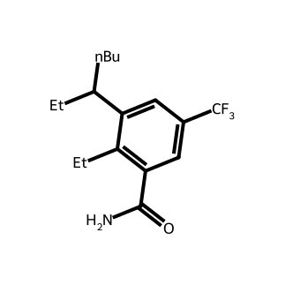 CCCCC(CC)c1cc(C(F)(F)F)cc(C(N)=O)c1CC